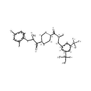 Cc1cc(F)ccc1CC(O)C(=O)N1CCC(C(=O)N(C)Cc2cc(C(F)(F)F)cc(C(F)(F)F)c2)CC1